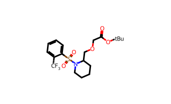 CC(C)(C)OC(=O)COCC1CCCCN1S(=O)(=O)c1ccccc1C(F)(F)F